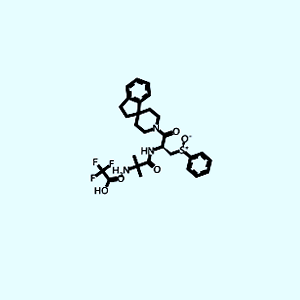 CC(C)(N)C(=O)N[C@H](C[S@@+]([O-])c1ccccc1)C(=O)N1CCC2(CCc3ccccc32)CC1.O=C(O)C(F)(F)F